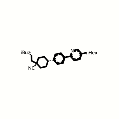 CCCCCCc1ccc(-c2ccc([C@H]3CC[C@@](C#N)(CC[C@@H](C)CC)CC3)cc2)nc1